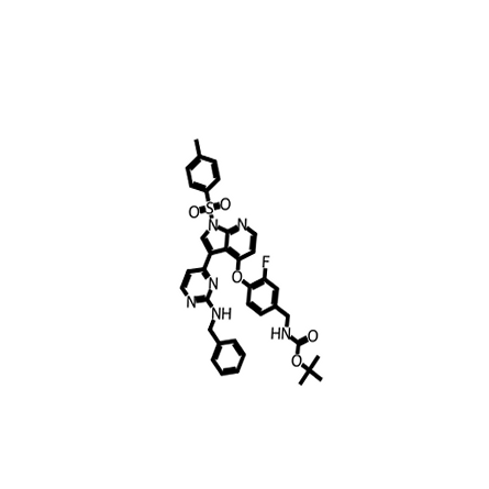 Cc1ccc(S(=O)(=O)n2cc(-c3ccnc(NCc4ccccc4)n3)c3c(Oc4ccc(CNC(=O)OC(C)(C)C)cc4F)ccnc32)cc1